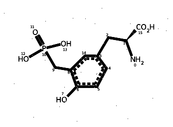 N[C@@H](Cc1ccc(O)c(CP(=O)(O)O)c1)C(=O)O